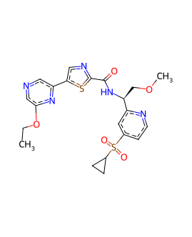 CCOc1cncc(-c2cnc(C(=O)N[C@@H](COC)c3cc(S(=O)(=O)C4CC4)ccn3)s2)n1